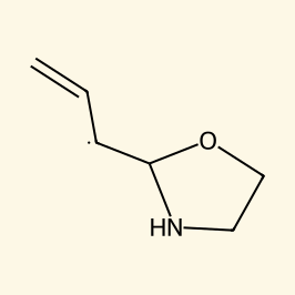 C=C[CH]C1NCCO1